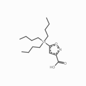 CCC[CH2][Sn]([CH2]CCC)([CH2]CCC)[c]1cc(C(=O)O)no1